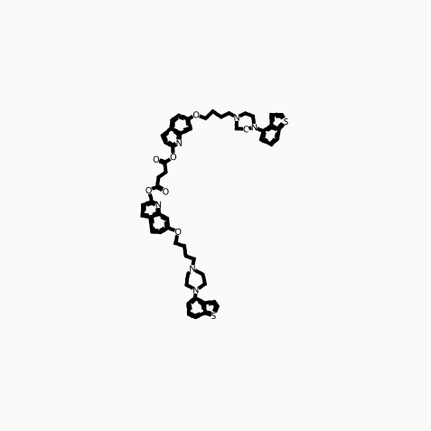 O=C(CCC(=O)Oc1ccc2ccc(OCCCCN3CCN(c4cccc5sccc45)CC3)cc2n1)Oc1ccc2ccc(OCCCCN3CCN(c4cccc5sccc45)CC3)cc2n1